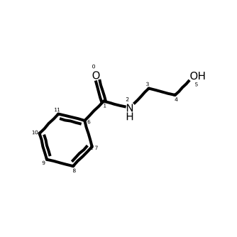 O=C(NCCO)c1[c]cccc1